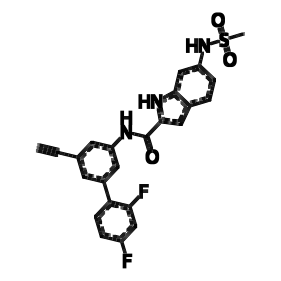 C#Cc1cc(NC(=O)c2cc3ccc(NS(C)(=O)=O)cc3[nH]2)cc(-c2ccc(F)cc2F)c1